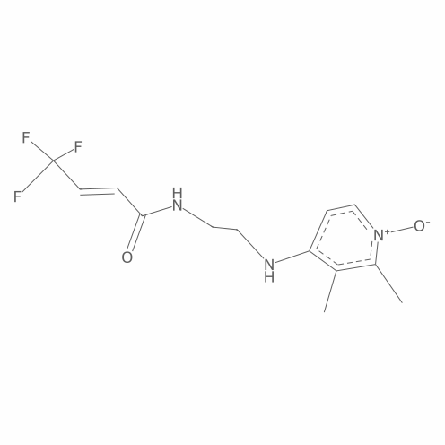 Cc1c(NCCNC(=O)/C=C/C(F)(F)F)cc[n+]([O-])c1C